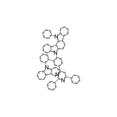 c1ccc(-c2cc(-c3ccc(-n4c5ccccc5c5c4ccc4c6ccccc6n(-c6ccccc6)c45)c(-c4ccccc4-n4c5ccccc5c5ccccc54)c3)nc(-c3ccccc3)n2)cc1